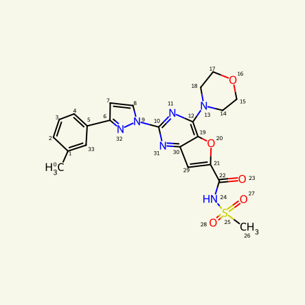 Cc1cccc(-c2ccn(-c3nc(N4CCOCC4)c4oc(C(=O)NS(C)(=O)=O)cc4n3)n2)c1